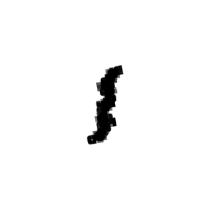 O=C1[C@@H](NS(=O)(=O)c2cc3cc(Cl)ccc3s2)CCCN1CC(=O)N1C[C@H]2C[C@@H]1CN2C(=O)CN1CCC[C@H](NS(=O)(=O)c2cc3cc(Cl)ccc3s2)C1=O